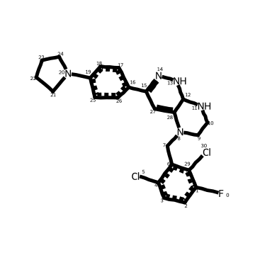 Fc1ccc(Cl)c(CN2CCNC3NN=C(c4ccc(N5CCCC5)cc4)C=C32)c1Cl